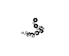 CN(C)CC=CC(=O)N1CCC(n2ccc3ncnc(Oc4ccc(Oc5ccccc5)cc4)c32)CC1